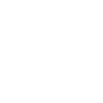 COC1(/C(C)=C\C(=O)O)CCC(c2cc3c(cc2C)C(C)(C)CCC3(C)C)C1